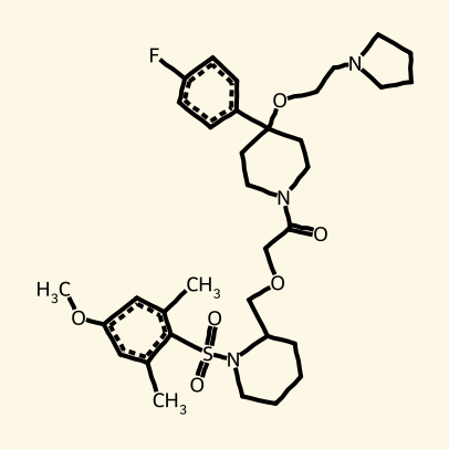 COc1cc(C)c(S(=O)(=O)N2CCCCC2COCC(=O)N2CCC(OCCN3CCCC3)(c3ccc(F)cc3)CC2)c(C)c1